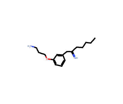 CCCCCC(=N)Cc1cccc(OCCCN)c1